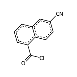 N#Cc1ccc2c(C(=O)Cl)cccc2c1